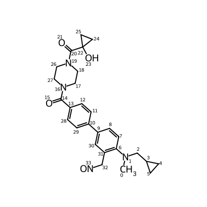 CN(CC1CC1)c1ccc(-c2ccc(C(=O)N3CCN(C(=O)C4(O)CC4)CC3)cc2)cc1CN=O